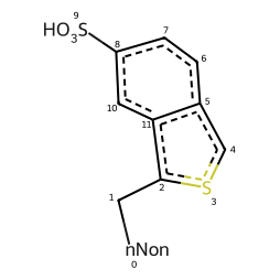 CCCCCCCCCCc1scc2ccc(S(=O)(=O)O)cc12